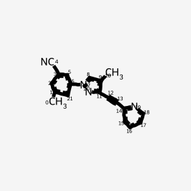 Cc1cc(C#N)cc(-n2cc(C)c(C#Cc3ccccn3)n2)c1